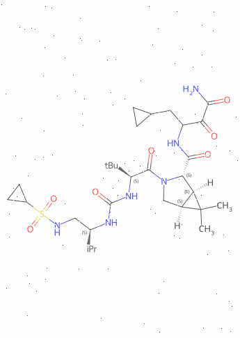 CC(C)[C@@H](CNS(=O)(=O)C1CC1)NC(=O)N[C@H](C(=O)N1C[C@H]2[C@@H]([C@H]1C(=O)NC(CC1CC1)C(=O)C(N)=O)C2(C)C)C(C)(C)C